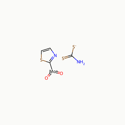 NC(=S)[S-].[O]=[Mo+](=[O])[c]1nccs1